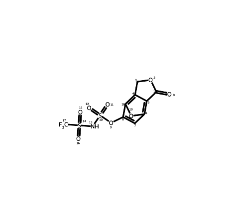 O=C1OCc2c1c1cc(OS(=O)(=O)NS(=O)(=O)C(F)(F)F)c2o1